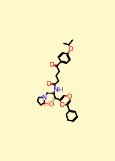 CC(C)Oc1ccc(C(=O)CCCC(=O)N[C@H](CN2CCCC2)[C@@H](O)C2=COC=C(C3=CC=CCC3)O2)cc1